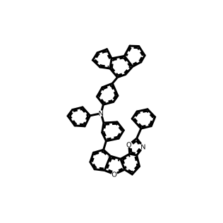 c1ccc(-c2nc3ccc4oc5cccc(-c6cccc(N(c7ccccc7)c7ccc(-c8cc9ccccc9c9ccccc89)cc7)c6)c5c4c3o2)cc1